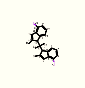 CC1=Cc2c(I)cccc2C1C(C)(C)C1C(C)=Cc2c(I)cccc21